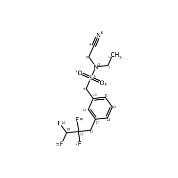 CCN(CC#N)S(=O)(=O)Cc1cccc(CC(F)(F)C(F)F)c1